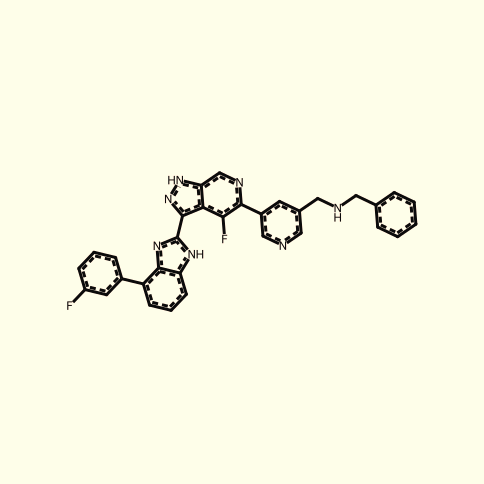 Fc1cccc(-c2cccc3[nH]c(-c4n[nH]c5cnc(-c6cncc(CNCc7ccccc7)c6)c(F)c45)nc23)c1